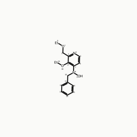 CCOCc1nccc(N(O)Cc2ccccc2)c1OCC